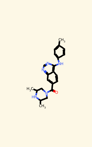 Cc1ccc(Nc2ncnc3cc(C(=O)N4CC(C)NC(C)C4)ccc23)cc1